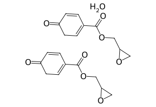 O.O=C1C=CC(C(=O)OCC2CO2)=CC1.O=C1C=CC(C(=O)OCC2CO2)=CC1